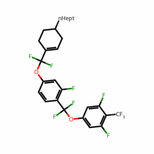 CCCCCCCC1CC=C(C(F)(F)Oc2ccc(C(F)(F)Oc3cc(F)c(C(F)(F)F)c(F)c3)c(F)c2)CC1